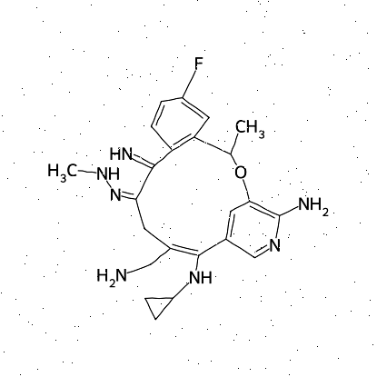 CN/N=C1/C/C(CN)=C(/NC2CC2)c2cnc(N)c(c2)OC(C)c2cc(F)ccc2C1=N